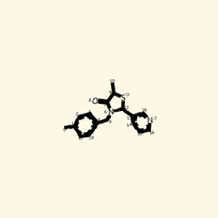 Cc1ccc(CN2C(=O)C(C)SC2c2cccnc2)cc1